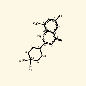 CC(=O)c1cc(C)cc2c(=O)cc(C3CCC(F)(F)CC3)oc12